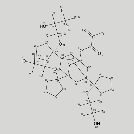 C=C(C)C(=O)OC12CC3(C4(OC(C)(C)C(C)(C)O)CCCC4)CC(C4(OC(C)(C)C(C)(C)O)CCCC4)(C1)CC(C1(OC(C)(C)C(C)(O)C(F)(F)F)CCCC1)(C2)C3